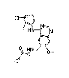 COc1cc2ncnc(Nc3cccc(Cl)c3F)c2cc1CNOC(=O)C1CC1